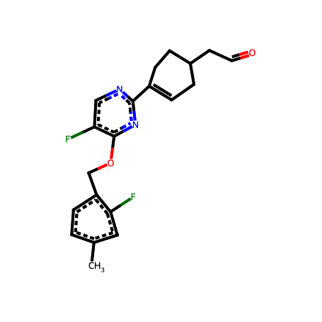 Cc1ccc(COc2nc(C3=CCC(CC=O)CC3)ncc2F)c(F)c1